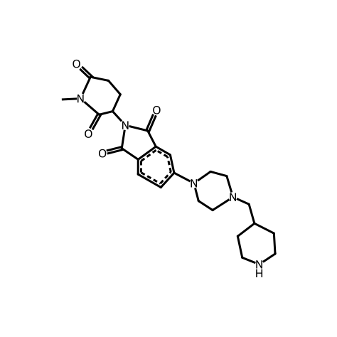 CN1C(=O)CCC(N2C(=O)c3ccc(N4CCN(CC5CCNCC5)CC4)cc3C2=O)C1=O